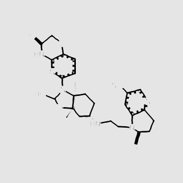 N#Cc1cnc2c(c1)N(CCN[C@H]1CC[C@H]3[C@H](C1)OC(O)N3c1ccc3c(n1)NC(=O)CS3)C(=O)CC2